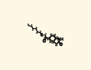 CCCCCCSCC(=O)c1ccc2c(c1)CC(=O)N2